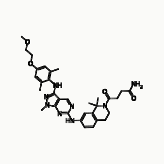 COCCOc1cc(C)c(Nc2nn(C)c3nc(Nc4ccc5c(c4)C(C)(C)N(C(=O)CCC(N)=O)CC5)ncc23)c(C)c1